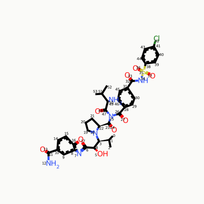 CC(C)[C@@H](C(O)c1nc2cc(C(N)=O)ccc2o1)N1CCC[C@H]1C(=O)N(C(=O)c1ccc(C(=O)NS(=O)(=O)c2ccc(Cl)cc2)cc1)C(=O)[C@@H](N)C(C)C